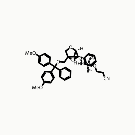 COc1ccc(C(OCC23CO[C@@H]([C@H](c4ccccc4)O2)[C@@H]3OP[N+](OCCC#N)(C(C)C)C(C)C)(c2ccccc2)c2ccc(OC)cc2)cc1